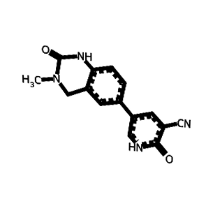 CN1Cc2cc(-c3c[nH]c(=O)c(C#N)c3)ccc2NC1=O